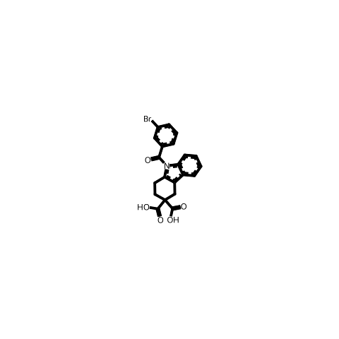 O=C(c1cccc(Br)c1)n1c2c(c3ccccc31)CC(C(=O)O)(C(=O)O)CC2